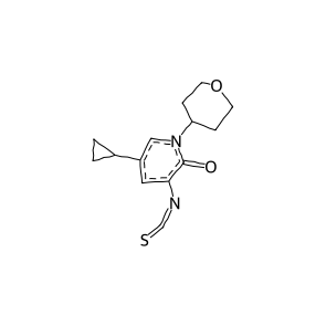 O=c1c(N=C=S)cc(C2CC2)cn1C1CCOCC1